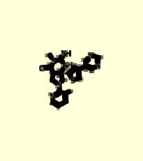 Cc1cccnc1N1CC2C(=O)N(C)C(=N)N[C@@]2(c2cc(-c3cncnc3)cs2)C1